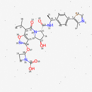 Cc1ncsc1-c1ccc([C@H](C)NC(=O)[C@@H]2C[C@@H](O)CN2C(=O)C(c2cc(OC3CCN3C(=O)O)no2)C(C)C)cc1